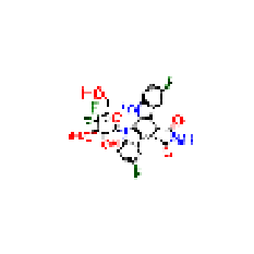 O=C1NC(=O)c2c1c1c3cc(F)ccc3[nH]c1c1c2c2cc(F)ccc2n1[C@@H]1O[C@H](CO)C(F)(F)[C@H](O)[C@H]1O